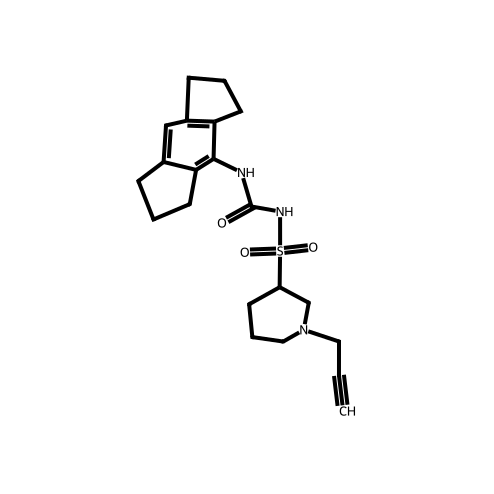 C#CCN1CCCC(S(=O)(=O)NC(=O)Nc2c3c(cc4c2CCC4)CCC3)C1